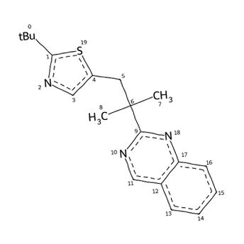 CC(C)(C)c1ncc(CC(C)(C)c2ncc3ccccc3n2)s1